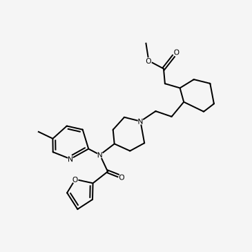 COC(=O)CC1CCCCC1CCN1CCC(N(C(=O)c2ccco2)c2ccc(C)cn2)CC1